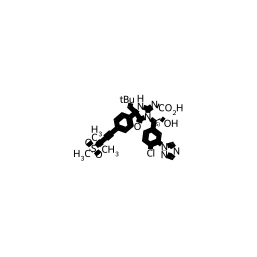 CC(C)(C)CC1(c2ccc(C#CC(C)(C)S(C)(=O)=O)cc2)NC(=NC(=O)O)N([C@H](CO)c2ccc(Cl)c(-n3cncn3)c2)C1=O